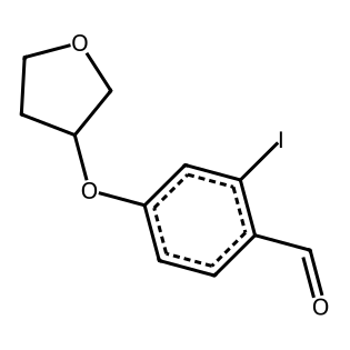 O=Cc1ccc(OC2CCOC2)cc1I